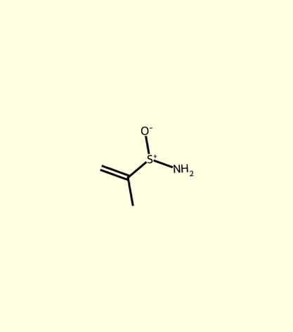 C=C(C)[S+](N)[O-]